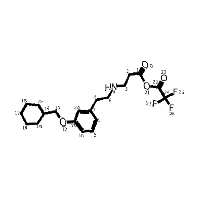 O=C(CCNCCc1cccc(OCC2CCCCC2)c1)OC(=O)C(F)(F)F